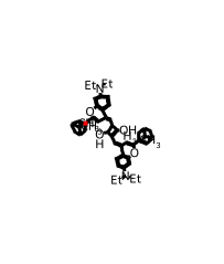 CCN(CC)c1ccc2c(c1)OC(C1=CC3CC(C1)C3(C)C)=C/C2=C\C1=C(O)C(/C=C2\C=C(C3=CC4CC(C3)C4(C)C)Oc3cc(N(CC)CC)ccc32)C1O